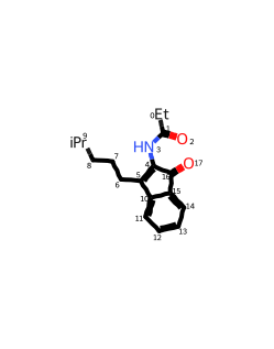 CCC(=O)NC1=C(CCCC(C)C)c2ccccc2C1=O